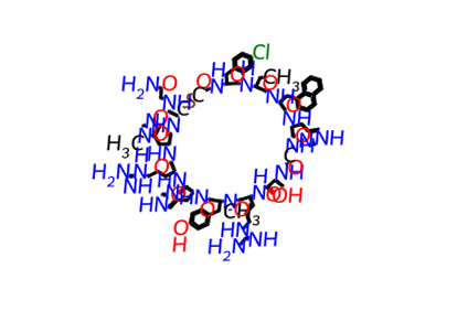 CCC1NC(=O)C(Cc2ccc(Cl)cc2)NC(=O)CSCC(C(=O)NCC(N)=O)NC(=O)C(Cc2cncn2C)NC(=O)C(CCCNC(=N)N)NC(=O)C(Cc2c[nH]cn2)NC(=O)C(Cc2ccc(O)cc2)N(C)C(=O)C(CCCNC(=N)N)NC(=O)C(CO)NC(=O)CNC(=O)C(Cc2c[nH]cn2)NC(=O)C(Cc2cccc3ccccc23)NC1=O